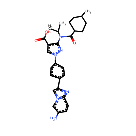 CC1CCC(C(=O)N(c2nn(-c3ccc(-c4cn5cc(N)ccc5n4)cc3)cc2C(=O)O)C(C)C)CC1